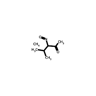 C.CC(=O)C(N=O)C(C)C